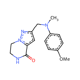 COc1ccc(N(C)Cc2cc3n(n2)CCNC3=O)cc1